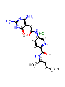 Cl.Nc1nc(N)c(CC(=O)Nc2ccc(C(=O)NC(CCC(=O)O)C(=O)O)nc2)c(=O)[nH]1